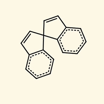 C1=CC2(C=Cc3ccccc32)c2ccccc21